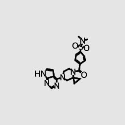 CN(C)S(=O)(=O)c1ccc(C(=O)N2CCN(c3ncnc4[nH]ccc34)CC23CC3)cc1